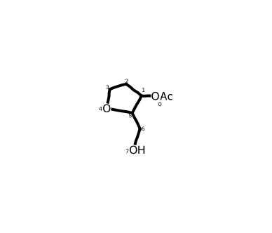 CC(=O)OC1CCOC1CO